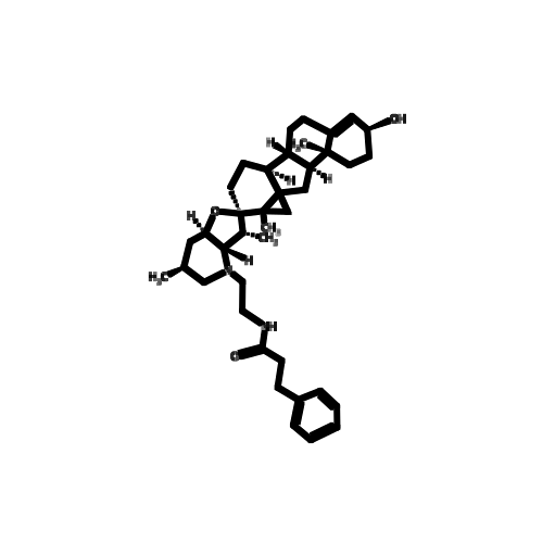 C[C@H]1C[C@H]2O[C@]3(CC[C@H]4[C@@H]5CCC6=C[C@@H](O)CC[C@]6(C)[C@H]5CC45CC53C)[C@H](C)[C@@H]2N(CCNC(=O)CCc2ccccc2)C1